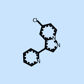 Clc1ccn2ncc(-c3ccccn3)c2c1